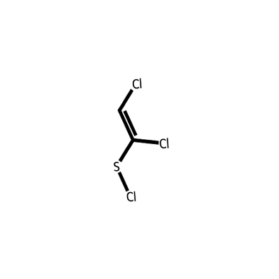 ClC=C(Cl)SCl